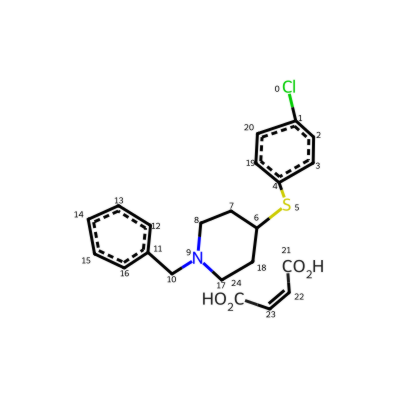 Clc1ccc(SC2CCN(Cc3ccccc3)CC2)cc1.O=C(O)/C=C\C(=O)O